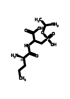 CCC[C@@H](N)C(=O)NC(CP(=O)(O)OC(C)N)C(=O)O